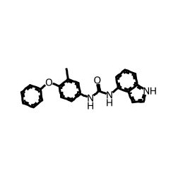 Cc1cc(NC(=O)Nc2cccc3[nH]ccc23)ccc1Oc1ccccc1